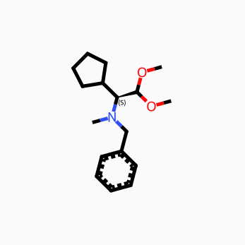 COC(OC)[C@H](C1CCCC1)N(C)Cc1ccccc1